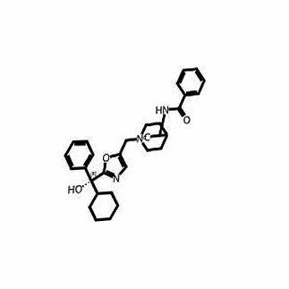 O=C(NC1C[N+]2(Cc3cnc([C@](O)(c4ccccc4)C4CCCCC4)o3)CCC1CC2)c1ccccc1